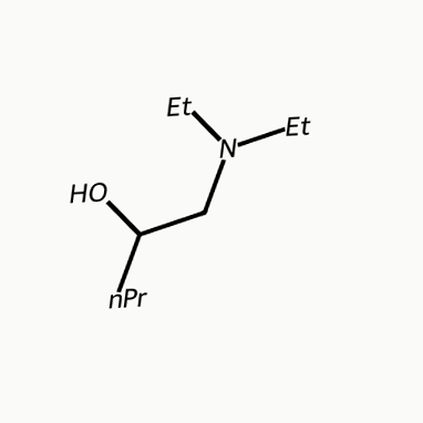 CCCC(O)CN(CC)CC